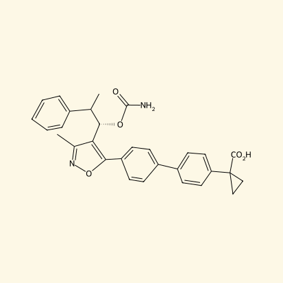 Cc1noc(-c2ccc(-c3ccc(C4(C(=O)O)CC4)cc3)cc2)c1[C@@H](OC(N)=O)C(C)c1ccccc1